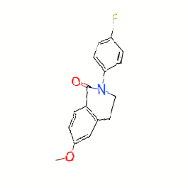 COc1ccc2c(c1)CCN(c1ccc(F)cc1)C2=O